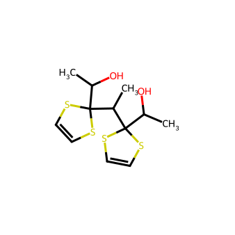 CC(O)C1(C(C)C2(C(C)O)SC=CS2)SC=CS1